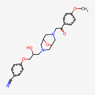 COc1ccc(C(=O)CN2CC3CN(CC(O)COc4ccc(C#N)cc4)CC(C2)O3)cc1